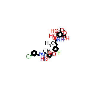 CC(=Cc1ccc(O[C@H]2C[C@H](O)[C@@H](C(C)NN=Cc3cccc(Cl)c3)O2)c(F)c1)C(=O)N[C@@H]1[C@H](O)[C@@H](O)[C@H]2OCO[C@H]2[C@@H]1O